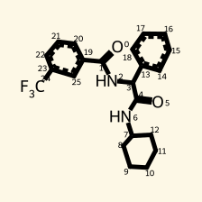 O=C(NC(C(=O)NC1CCCCC1)c1ccccc1)c1cccc(C(F)(F)F)c1